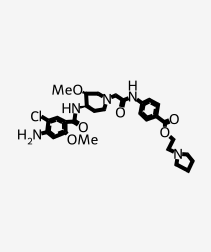 COc1cc(N)c(Cl)cc1C(=O)N[C@@H]1CCN(CC(=O)Nc2ccc(C(=O)OCCN3CCCC3)cc2)C[C@@H]1OC